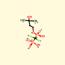 CC(C)(O)CCOP(=O)(O)C(F)(F)P(=O)(O)O